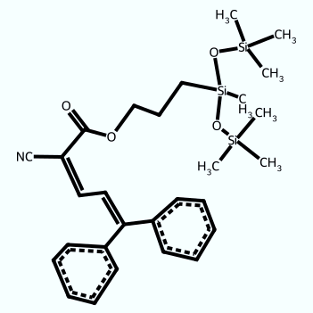 C[Si](C)(C)O[Si](C)(CCCOC(=O)C(C#N)=CC=C(c1ccccc1)c1ccccc1)O[Si](C)(C)C